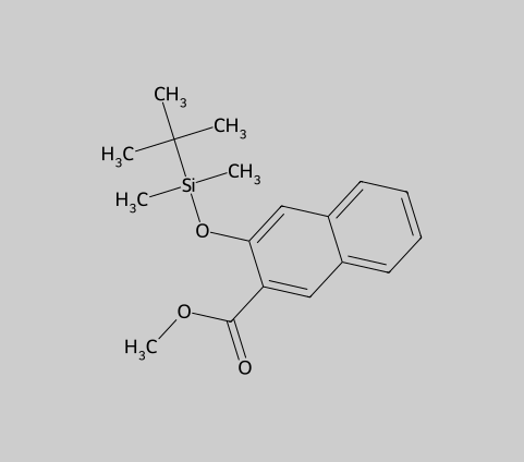 COC(=O)c1cc2ccccc2cc1O[Si](C)(C)C(C)(C)C